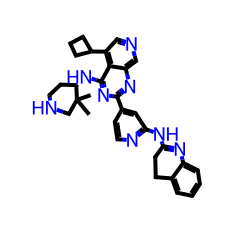 CC1(C)CNCCC1Nc1nc(-c2ccnc(NC3=Nc4ccccc4CC3)c2)nc2cncc(C3CCC3)c12